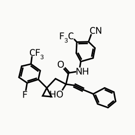 N#Cc1ccc(NC(=O)C(O)(C#Cc2ccccc2)CC2(c3cc(C(F)(F)F)ccc3F)CC2)cc1C(F)(F)F